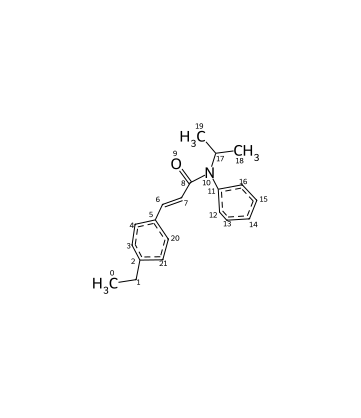 CCc1ccc(/C=C/C(=O)N(c2ccccc2)C(C)C)cc1